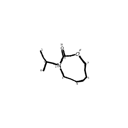 CC(C)N1CCCCOC1=O